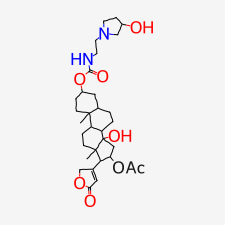 CC(=O)OC1CC2(O)C3CCC4CC(OC(=O)NCCN5CCC(O)C5)CCC4(C)C3CCC2(C)C1C1=CC(=O)OC1